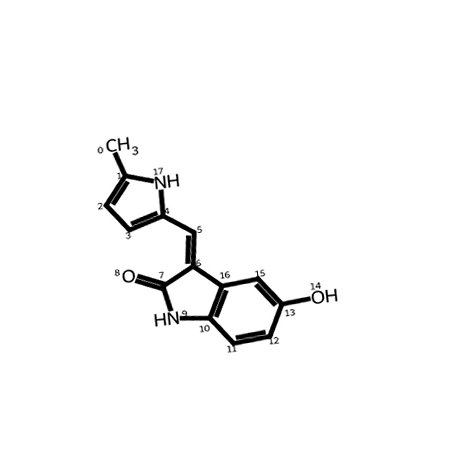 Cc1ccc(/C=C2\C(=O)Nc3ccc(O)cc32)[nH]1